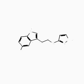 Oc1ccc2[nH]cc(CCNc3ccon3)c2c1